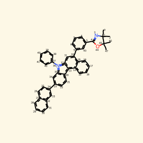 CC1(C)N=C(c2cccc(-c3cc4c(c5ccccc35)c3ccc(-c5ccc6ccccc6c5)cc3n4-c3ccccc3)c2)OC1(C)C